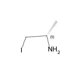 C[C@H](N)CI